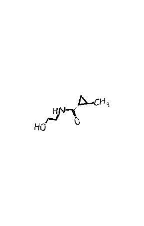 C[C@@H]1C[C@H]1C(=O)NCCO